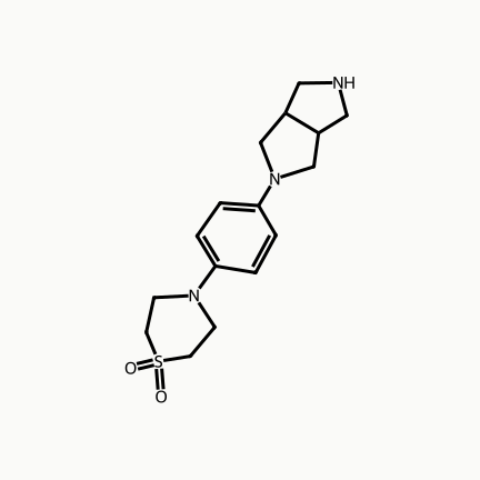 O=S1(=O)CCN(c2ccc(N3CC4CNCC4C3)cc2)CC1